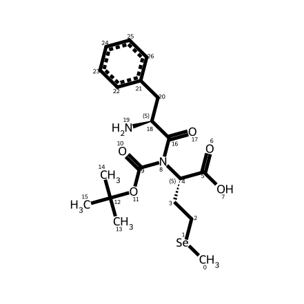 C[Se]CC[C@@H](C(=O)O)N(C(=O)OC(C)(C)C)C(=O)[C@@H](N)Cc1ccccc1